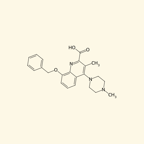 Cc1c(C(=O)O)nc2c(OCc3ccccc3)cccc2c1N1CCN(C)CC1